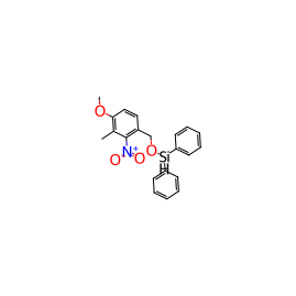 COc1ccc(CO[SiH](c2ccccc2)c2ccccc2)c([N+](=O)[O-])c1C